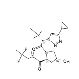 CC(F)(F)CNC(=O)[C@@H]1C[C@@H](O)CN1C(=O)[C@@H](n1cc(C2CC2)nn1)C(C)(C)C